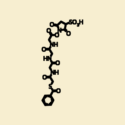 O=C(CNC(=O)CSC(=O)c1ccccc1)NCC(=O)NCC(=O)ON1C(=O)CC(S(=O)(=O)O)C1=O